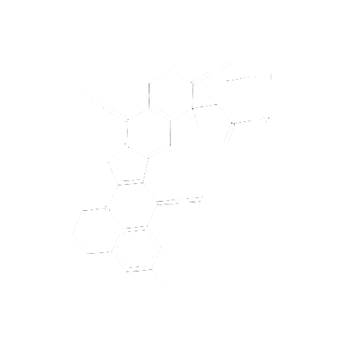 CCC1([C@H](CC(=O)O)C(=O)OC)C(=C=O)OCC2=C1C=C1C3=C(CN1C2=C=O)N1CCCc2cc(F)cc(c21)C3=C=O